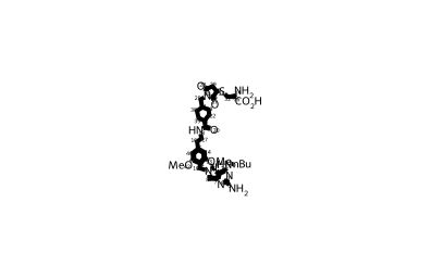 CCCCNc1nc(N)nc2cn(Cc3c(OC)cc(CCNC(=O)C4CCC(CN5C(=O)CC(SC[C@@H](N)C(=O)O)C5=O)CC4)cc3OC)nc12